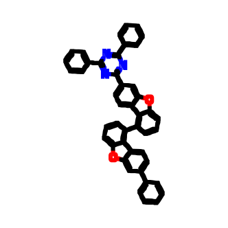 c1ccc(-c2ccc3c(c2)oc2cccc(-c4cccc5oc6cc(-c7nc(-c8ccccc8)nc(-c8ccccc8)n7)ccc6c45)c23)cc1